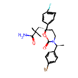 C[C@@H](c1ccc(Br)cc1)N1CC[C@](CC(C)(C)C(N)=O)(c2ccc(F)cc2)OC1=O